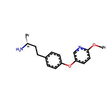 CC(C)Oc1ccc(Oc2ccc(CC[C@H](N)C(C)C)cc2)cn1